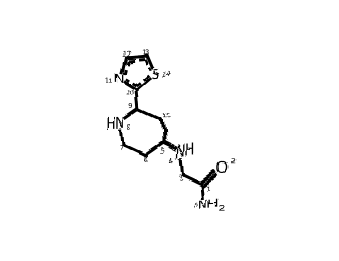 NC(=O)CNC1CCNC(c2nccs2)C1